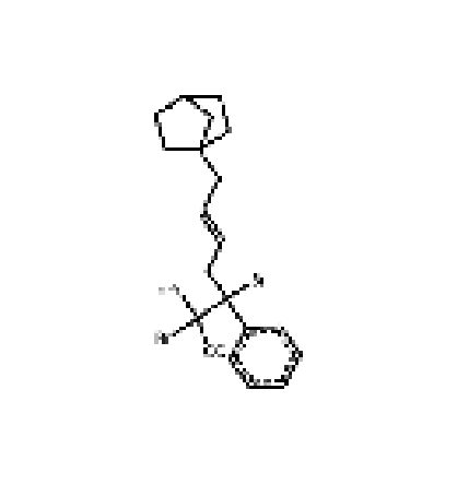 CCCC(Br)(C(=O)O)C(Br)(CC=CCC12CCC(CC1)C2)c1ccccc1